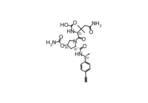 C#Cc1ccc([C@H](C)NC(=O)[C@@H]2C[C@@H](OC(N)=O)CN2C(=O)[C@@H](NC(=O)O)C(C)(C)CC(N)=O)cc1